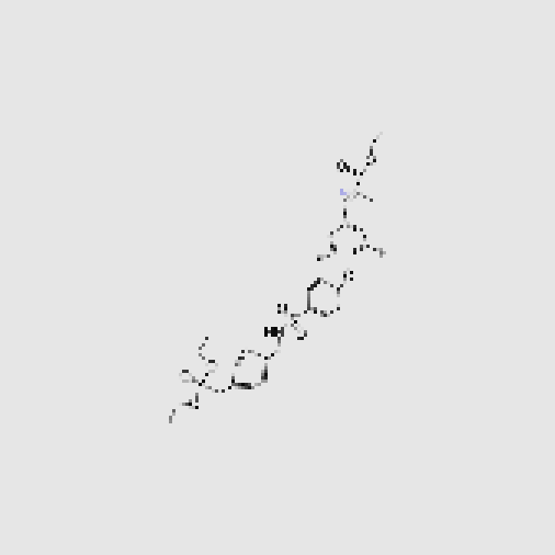 CCOC(=O)/C(C)=C/c1cc(F)c(Oc2ccc(S(=O)(=O)NCc3ccc(CP(=O)(OCC)OCC)cc3)cc2)c(F)c1